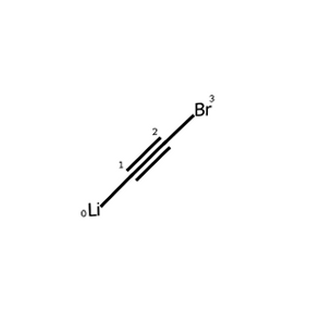 [Li][C]#CBr